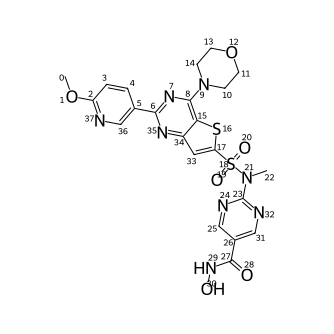 COc1ccc(-c2nc(N3CCOCC3)c3sc(S(=O)(=O)N(C)c4ncc(C(=O)NO)cn4)cc3n2)cn1